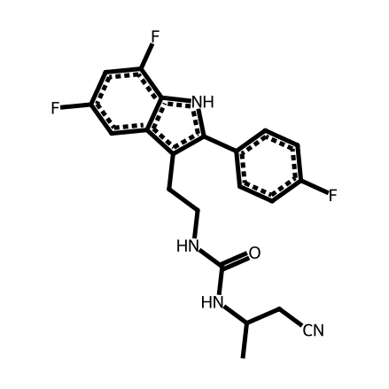 CC(CC#N)NC(=O)NCCc1c(-c2ccc(F)cc2)[nH]c2c(F)cc(F)cc12